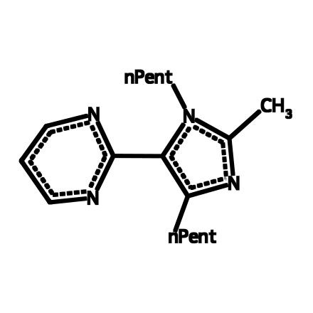 CCCCCc1nc(C)n(CCCCC)c1-c1ncccn1